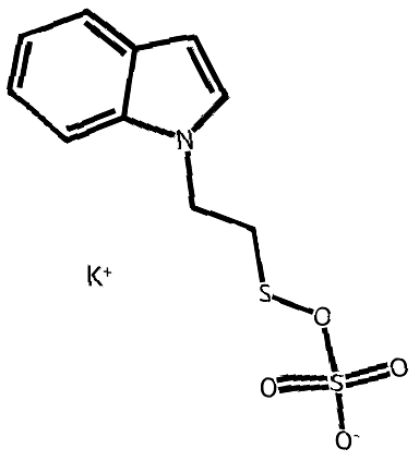 O=S(=O)([O-])OSCCn1ccc2ccccc21.[K+]